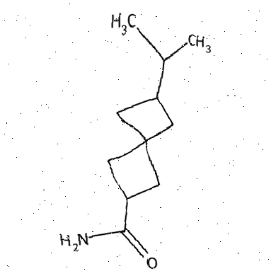 CC(C)C1CC2(CC(C(N)=O)C2)C1